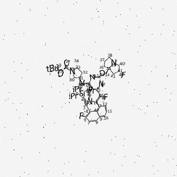 CC(C)[Si](C#Cc1c(F)ccc2cccc(-c3ncc4c(N(C)[C@@H]5C[C@@H](C)N(C(=O)OC(C)(C)C)C5)nc(OC[C@@]56CCCN5C[C@H](F)C6)nc4c3F)c12)(C(C)C)C(C)C